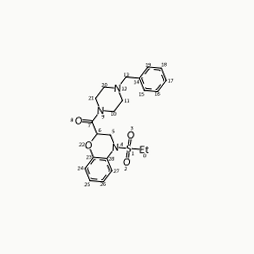 CCS(=O)(=O)N1CC(C(=O)N2CCN(Cc3ccccc3)CC2)Oc2ccccc21